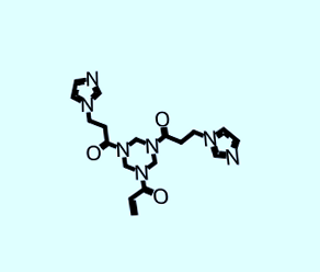 C=CC(=O)N1CN(C(=O)CCn2ccnc2)CN(C(=O)CCn2ccnc2)C1